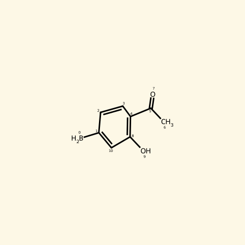 Bc1ccc(C(C)=O)c(O)c1